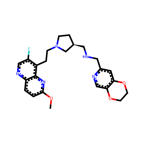 COc1ccc2ncc(F)c(CCN3CC[C@@H](CNCc4cc5c(cn4)OCCO5)C3)c2n1